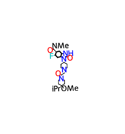 CNC(=O)c1cc2[nH]c(=O)n(C3CCN(CC(=O)N4CCC(OC)(C(C)C)CC4)CC3)c2cc1F